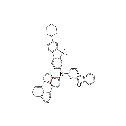 CC1(C)c2cc(C3CCCCC3)ccc2-c2ccc(N(c3ccc(-c4cccc5c4C(c4ccccc4)=CCC5)cc3)c3ccc4c(c3)oc3ccccc34)cc21